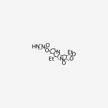 CCc1c2c(nc3ccc(OC(=O)N4CCNCC4)cc13)-c1cc3c(c(=O)n1C2)COC(=O)C3CC